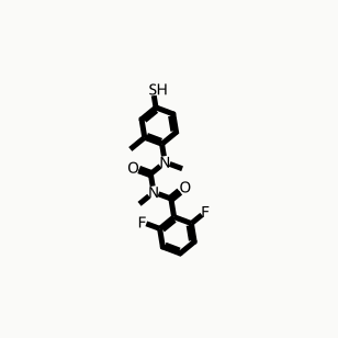 Cc1cc(S)ccc1N(C)C(=O)N(C)C(=O)c1c(F)cccc1F